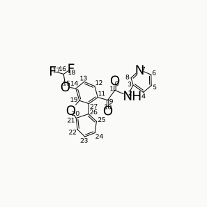 O=C(Nc1cccnc1)C(=O)c1ccc(OC(F)F)c2oc3ccccc3c12